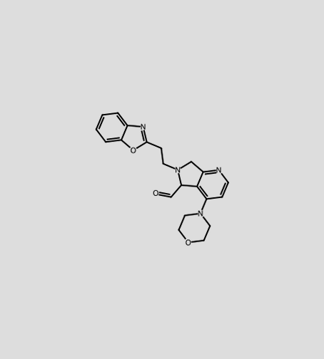 O=CC1c2c(N3CCOCC3)ccnc2CN1CCc1nc2ccccc2o1